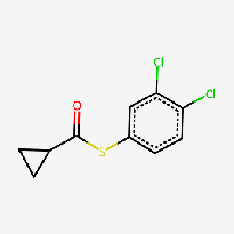 O=C(Sc1ccc(Cl)c(Cl)c1)C1CC1